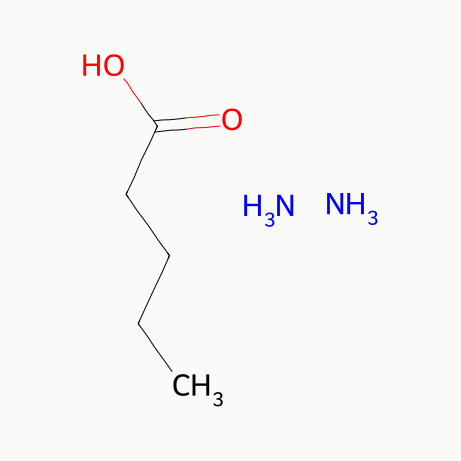 CCCCC(=O)O.N.N